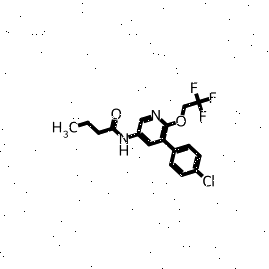 CCCC(=O)Nc1cnc(OCC(F)(F)F)c(-c2ccc(Cl)cc2)c1